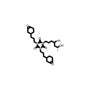 CCCC(CCCn1c(=O)n(CCCC2CCC3OC3C2)c(=O)n(CCCC2CCC3OC3C2)c1=O)C[C@@H](C)O